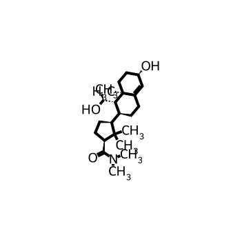 C[C@H](O)[C@H]1[C@H]([C@@H]2CC[C@H](C(=O)N(C)C)C2(C)C)CCC2=C[C@@H](O)CC[C@@]21C